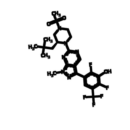 Cn1nc(-c2cc(C(F)(F)F)c(F)c(O)c2F)c2cnc(N3CCN(S(C)(=O)=O)C[C@@H]3CC(C)(C)C)nc21